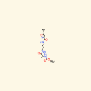 C[C@H](NC(=O)OC(C)(C)C)C(=O)NCCCCNC(=O)c1cc(C2CC2)on1